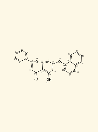 O=c1cc(-c2ccccc2)oc2cc(Oc3ccnc4ccccc34)cc(O)c12